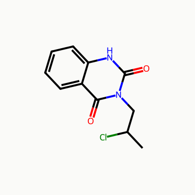 CC(Cl)Cn1c(=O)[nH]c2ccccc2c1=O